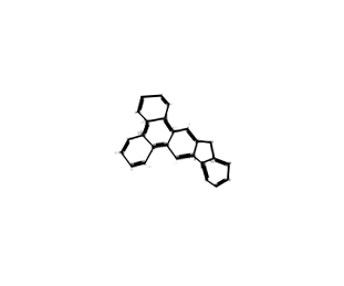 c1ccc2c(c1)Cc1cc3c4ccccc4c4ccccc4c3cc1-2